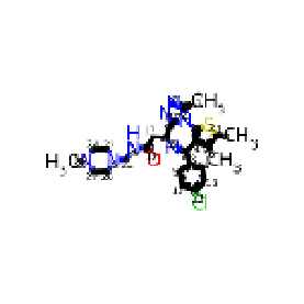 Cc1sc2c(c1C)C(c1ccc(Cl)cc1)=N[C@@H](CC(=O)NCN1CCN(C)CC1)c1nnc(C)n1-2